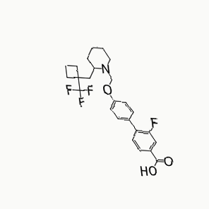 O=C(O)c1ccc(-c2ccc(OCN3CCCCC3CC3(C(F)(F)F)CCC3)cc2)c(F)c1